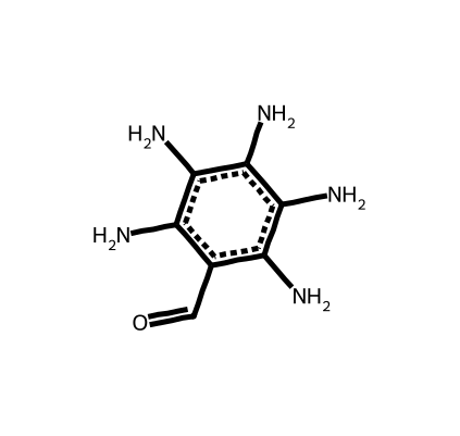 Nc1c(N)c(N)c(C=O)c(N)c1N